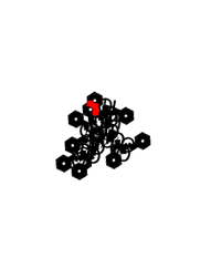 O=C(OCc1ccccc1)C(Cc1ccccc1)O[PH](=O)O[C@@H]1[C@@H](O[PH](=O)OC(Cc2ccccc2)C(=O)OCc2ccccc2)[C@H](OCc2ccccc2)[C@@H](OCc2ccccc2)[C@H](OCc2ccccc2)[C@@H]1O[PH](=O)OC(Cc1ccccc1)C(=O)OCc1ccccc1